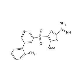 CSc1sc(C(=N)N)cc1S(=O)(=O)c1cncc(-c2ccccc2C)c1